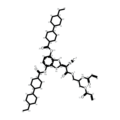 [C-]#[N+]C(C(=O)OCC(COC(=O)C=C)OC(=O)C=C)=C1Sc2c(OC(=O)C3CCC(C4CCC(CC)CC4)CC3)ccc(OC(=O)C3CCC(C4CCC(CC)CC4)CC3)c2S1